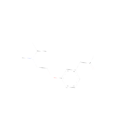 CC(=O)Cc1cccc(OCCN(C)C(C)C)c1